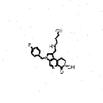 O=C1c2ncc3c(c(CNCCCO)cn3Cc3ccc(F)cc3)c2CCN1O